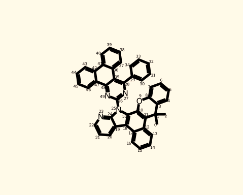 CC1(C)c2ccccc2Oc2c1c1ccccc1c1c3cccnc3n(-c3nc(-c4ccccc4)c4c5ccccc5c5ccccc5c4n3)c21